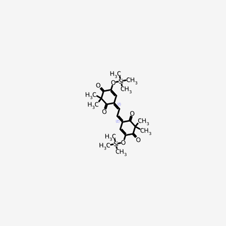 CC1(C)C(=O)C(O[Si](C)(C)C)=C/C(=C/C=C2/C=C(O[Si](C)(C)C)C(=O)C(C)(C)C2=O)C1=O